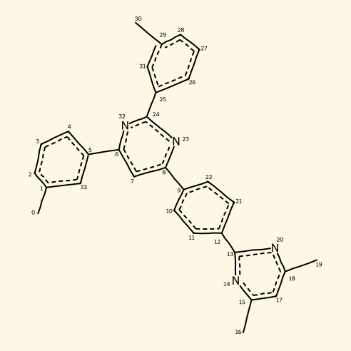 Cc1cccc(-c2cc(-c3ccc(-c4nc(C)cc(C)n4)cc3)nc(-c3cccc(C)c3)n2)c1